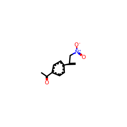 C=C(C[N+](=O)[O-])c1ccc(C(C)=O)cc1